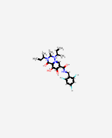 C=CC(C)N1C(=O)c2c(O)c(=O)c(C(=O)NCc3c(F)cc(F)cc3F)cn2N(C(C)C=C)C1C